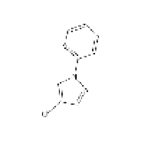 Clc1cnn(-c2ccc[c]n2)c1